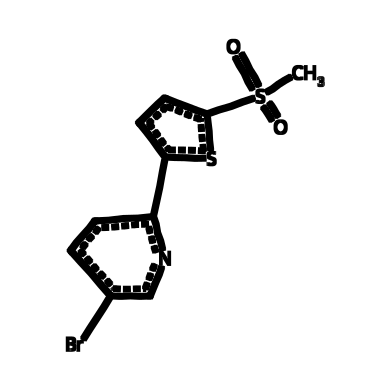 CS(=O)(=O)c1ccc(-c2ccc(Br)cn2)s1